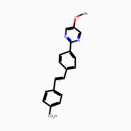 CCCOc1cnc(-c2ccc(/C=C/c3ccc(C(=O)O)cc3)cc2)nc1